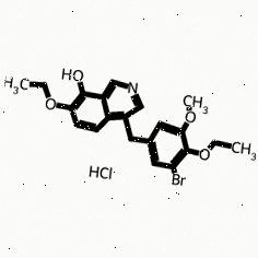 CCOc1ccc2c(Cc3cc(Br)c(OCC)c(OC)c3)cncc2c1O.Cl